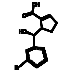 O=C(O)C1=CCCC1[C@H](O)c1cccc(Br)c1